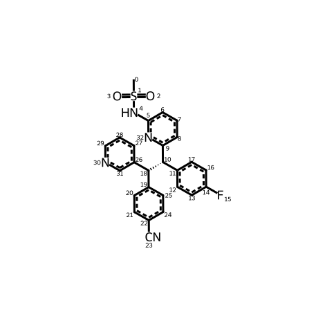 CS(=O)(=O)Nc1cccc([C@H](c2ccc(F)cc2)C(c2ccc(C#N)cc2)c2cccnc2)n1